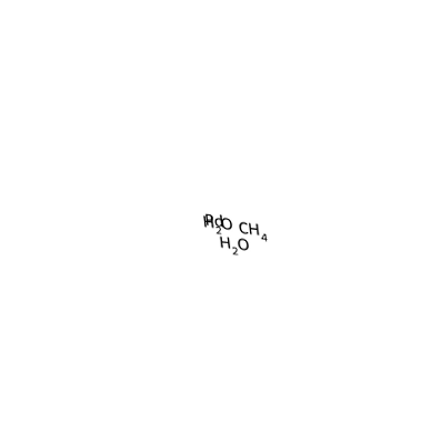 C.O.O.[Pd]